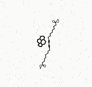 COC(=O)CCCCCCCCC#CC#CCCCCCCCCC(=O)OC.c1cc2ccc3cccc4ccc(c1)c2c34